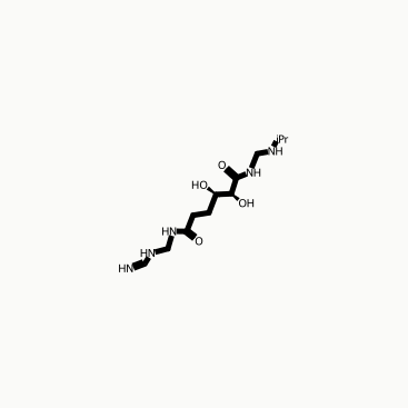 CC(C)NCNC(=O)[C@@H](O)[C@H](O)CCC(=O)NCNC=N